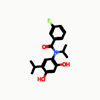 CC(C)c1cc(N(C(=O)c2cccc(F)c2)C(C)C)c(O)cc1O